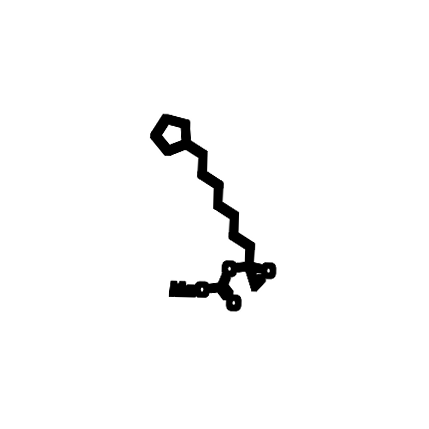 COC(=O)OC1(CCCCCCCC2CCCC2)CO1